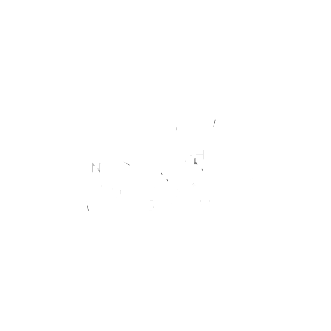 COC(=O)[C@@H](C)C[C@H](Cc1ccccc1)NC(=O)c1csc(CC[C@H](C(C)C)N(C)C(=O)[C@@H](C)C(C)C)n1